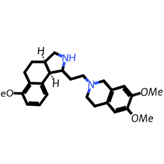 COc1cc2c(cc1OC)CN(CCC1NC[C@@H]3CCc4c(OC)cccc4[C@H]13)CC2